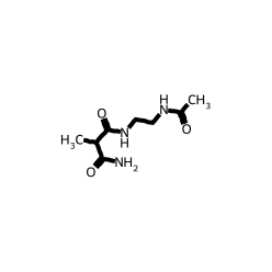 C[C](C(N)=O)C(=O)NCCNC(C)=O